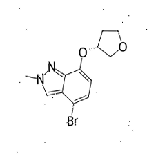 Cn1cc2c(Br)ccc(O[C@@H]3CCOC3)c2n1